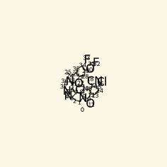 C[C@@H]1Cc2nn3c(c2CN1C(=O)c1ccc(Cl)c(C#N)c1Cl)C(=O)N([C@@H](C)c1ccc(OC(F)F)cc1)CC3